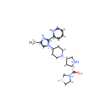 Cc1cn(C2CCN([C@@H]3CN[C@H](C(=O)N4CCSC4)C3)CC2)c(-c2ccccn2)n1